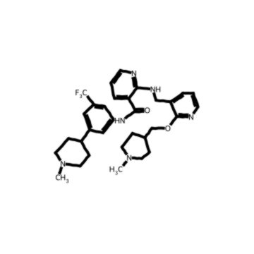 CN1CCC(COc2ncccc2CNc2ncccc2C(=O)Nc2cc(C3CCN(C)CC3)cc(C(F)(F)F)c2)CC1